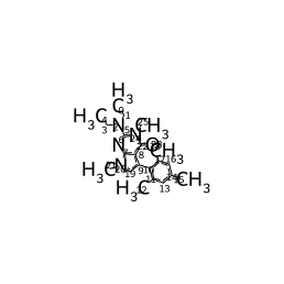 CCN(CC)c1nc2c(c(-c3c(C)cc(C)cc3C)cn2C)c(=O)n1C